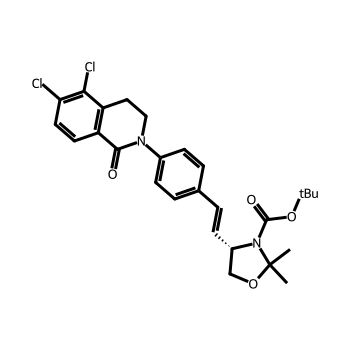 CC(C)(C)OC(=O)N1[C@@H](C=Cc2ccc(N3CCc4c(ccc(Cl)c4Cl)C3=O)cc2)COC1(C)C